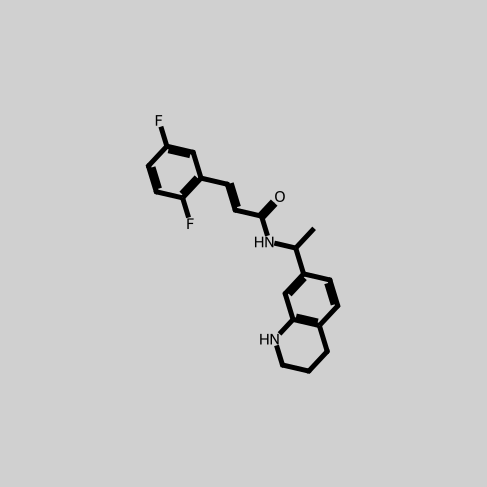 CC(NC(=O)/C=C/c1cc(F)ccc1F)c1ccc2c(c1)NCCC2